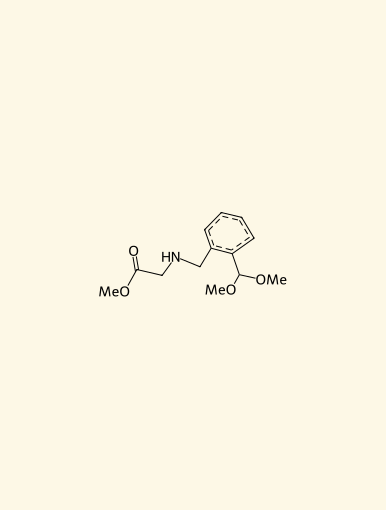 COC(=O)CNCc1ccccc1C(OC)OC